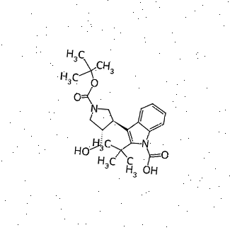 CC(C)(C)OC(=O)N1C[C@@H](CO)[C@H](c2c(C(C)(C)C)n(C(=O)O)c3ccccc23)C1